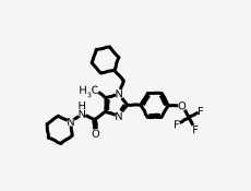 Cc1c(C(=O)NN2CCCCC2)nc(-c2ccc(OC(F)(F)F)cc2)n1CC1CCCCC1